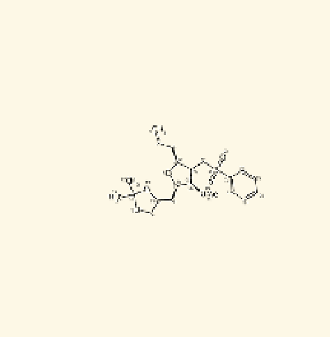 C=CC[C@@H]1O[C@H](C[C@H]2COC(C)(C)O2)[C@H](OC)C1CS(=O)(=O)c1ccccc1